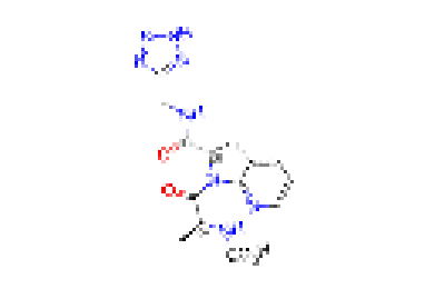 C[C@H](NC(=O)O)C(=O)N1c2ncccc2C[C@H]1C(=O)NCc1nn[nH]n1